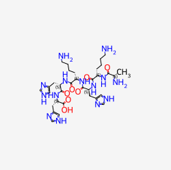 C[C@H](N)C(=O)N[C@@H](CCCCN)C(=O)N[C@@H](Cc1c[nH]cn1)C(=O)N[C@@H](CCCCN)C(=O)N[C@@H](Cc1c[nH]cn1)C(=O)N[C@@H](Cc1c[nH]cn1)C(=O)O